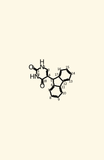 O=c1[nH]cc(C2c3ccccc3-c3ccccc32)c(=O)[nH]1